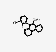 COc1c(-c2cccc(Cl)c2F)c2ccccc2c2ccccc12